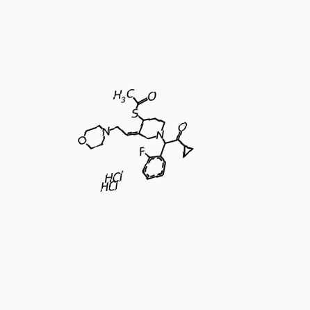 CC(=O)SC1CCN(C(C(=O)C2CC2)c2ccccc2F)CC1=CCN1CCOCC1.Cl.Cl